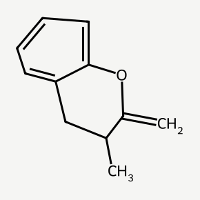 C=C1Oc2ccccc2CC1C